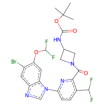 CC(C)(C)OC(=O)NC1CN(C(=O)c2nc(-n3cnc4cc(Br)c(OC(F)F)cc43)ccc2C(F)F)C1